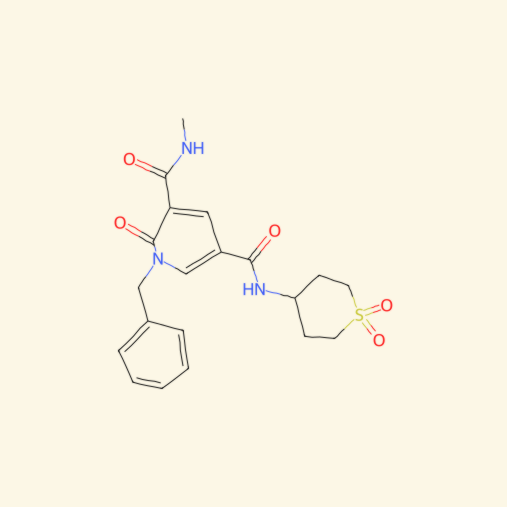 CNC(=O)c1cc(C(=O)NC2CCS(=O)(=O)CC2)cn(Cc2ccccc2)c1=O